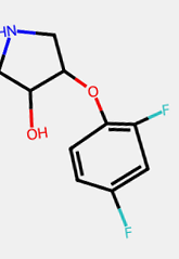 OC1CNCC1Oc1ccc(F)cc1F